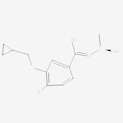 CCCC[S@+]([O-])/N=C(/c1ccc(F)c(OCC2CC2)c1)C(C)(C)C